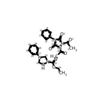 CC(=O)n1c(=O)n(-c2ccccc2)c(=O)n1C(C)=O.CCOC(=O)N1CN(c2ccccc2)CN1